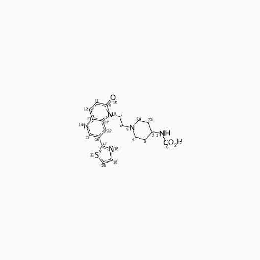 O=C(O)NC1CCN(CCn2c(=O)ccc3ncc(-c4nccs4)cc32)CC1